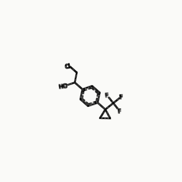 OC(CCl)c1ccc(C2(C(F)(F)F)CC2)cc1